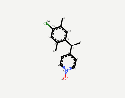 [CH2][C@@H](c1cc[n+]([O-])cc1)c1cc(C)c(Cl)cc1C